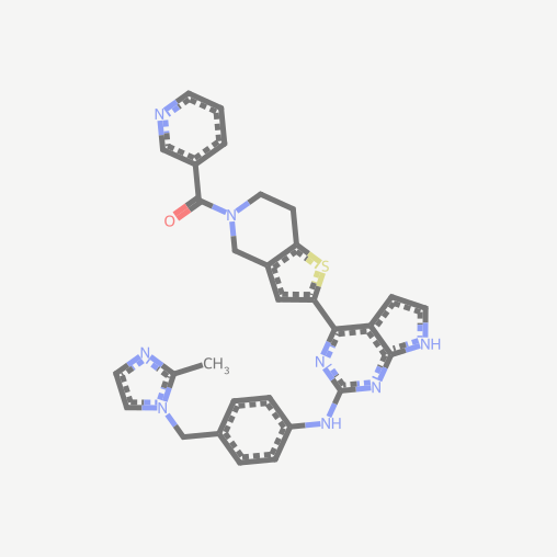 Cc1nccn1Cc1ccc(Nc2nc(-c3cc4c(s3)CCN(C(=O)c3cccnc3)C4)c3cc[nH]c3n2)cc1